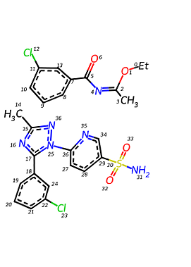 CCOC(C)=NC(=O)c1cccc(Cl)c1.Cc1nc(-c2cccc(Cl)c2)n(-c2ccc(S(N)(=O)=O)cn2)n1